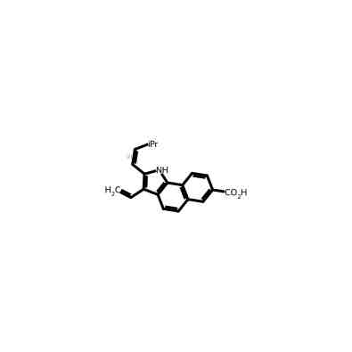 C=Cc1c(/C=C\C(C)C)[nH]c2c1ccc1cc(C(=O)O)ccc12